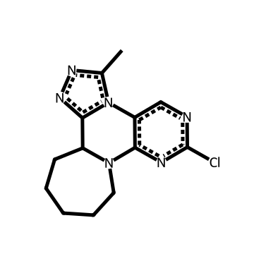 Cc1nnc2n1-c1cnc(Cl)nc1N1CCCCCC21